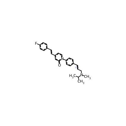 CC(C)N(C)C/C=C/c1ccc(-n2ccc(C=Cc3ccc(F)cc3)cc2=O)cc1